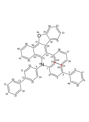 c1ccc(-c2ccc(N(c3ccc(-c4ccccc4)cc3)c3c(-c4ccccc4)c4c5ccccc5oc4c4ccccc34)cc2)cc1